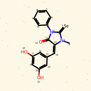 CN1C(=[Se])N(c2ccccc2)C(=O)C1=Cc1cc(O)cc(O)c1